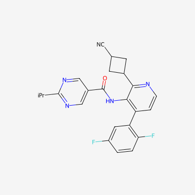 CC(C)c1ncc(C(=O)Nc2c(-c3cc(F)ccc3F)ccnc2C2CC(C#N)C2)cn1